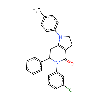 Cc1ccc(N2CCC3=C2CC(c2ccccc2)N(c2cccc(Cl)c2)C3=O)cc1